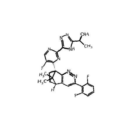 CC(O)c1nnc(-c2ncc(F)c([C@]34CC[C@@H](c5cc(-c6c(F)cccc6F)nnc53)C4(C)C)n2)[nH]1